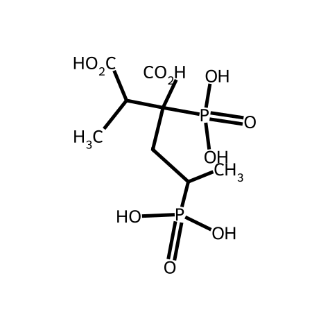 CC(C(=O)O)C(CC(C)P(=O)(O)O)(C(=O)O)P(=O)(O)O